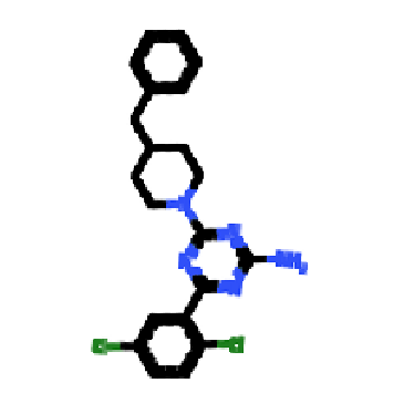 Nc1nc(-c2cc(Cl)ccc2Cl)nc(N2CCC(Cc3ccccc3)CC2)n1